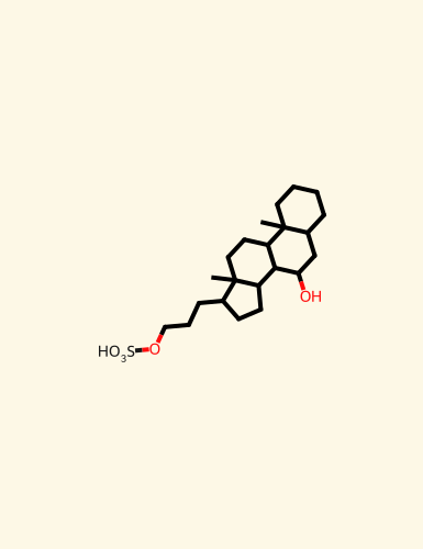 CC12CCC3C(C(O)CC4CCCCC43C)C1CCC2CCCOS(=O)(=O)O